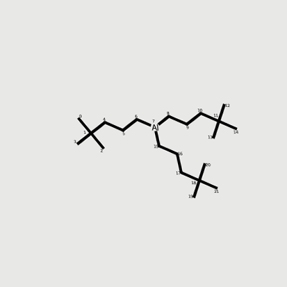 CC(C)(C)CC[CH2][Al]([CH2]CCC(C)(C)C)[CH2]CCC(C)(C)C